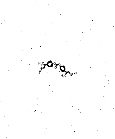 CC(CN=C=O)c1ccc(OC(=O)Oc2ccc(C(C)CN=C=O)cc2)cc1